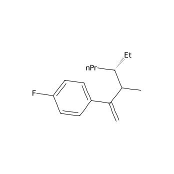 C=C(c1ccc(F)cc1)C(C)[C@@H](CC)CCC